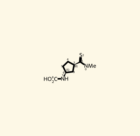 CNC(=S)[C@@H]1CC[C@H](NC(=O)O)C1